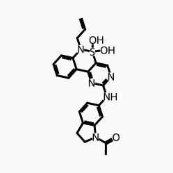 C=CCN1c2ccccc2-c2nc(Nc3ccc4c(c3)N(C(C)=O)CC4)ncc2S1(O)O